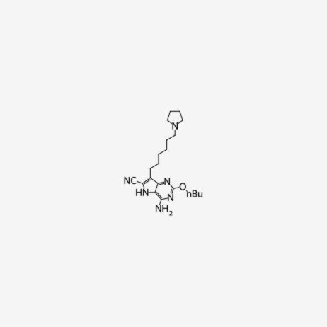 CCCCOc1nc(N)c2[nH]c(C#N)c(CCCCCCN3CCCC3)c2n1